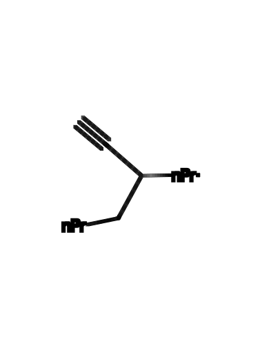 C#CC([CH]CC)CCCC